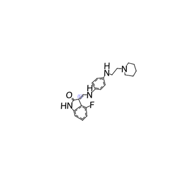 O=C1Nc2cccc(F)c2/C1=C\Nc1ccc(NCCN2CCCCC2)cc1